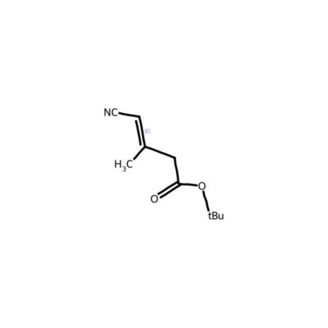 C/C(=C\C#N)CC(=O)OC(C)(C)C